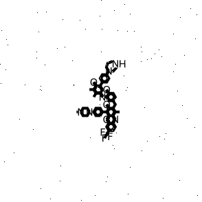 Cc1c2nc3cc(Cc4c(C)c5nc6ccc(C(F)(F)F)cc6oc-5c(-c5ccc(N6CCN(C)CC6)cc5)c4=O)ccc3oc-2c(-c2ccc(N3CCCNCC3)cc2)c(=O)c1C